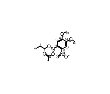 CCCON(OC(C)=O)c1cc(OC)c(OC)cc1[N+](=O)[O-]